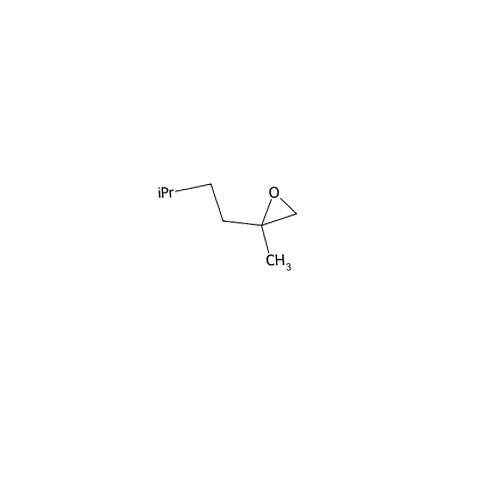 CC(C)CCC1(C)CO1